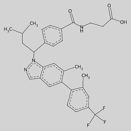 Cc1cc(C(F)(F)F)ccc1-c1cc2cnn(C(CC(C)C)c3ccc(C(=O)NCCC(=O)O)cc3)c2cc1C